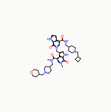 CN(CC1CCN(CC2CCC2)CC1)C(=O)c1cn(Cc2c[nH]c3c(=O)n(C)cc(C(=O)N(C)CC4CCN(CC5CCOCC5)CC4)c23)c(=O)c2[nH]ccc12